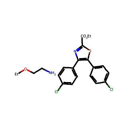 CCOC(=O)c1nc(-c2ccc(Cl)cc2)c(-c2ccc(Cl)cc2)s1.CCOCCN